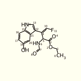 CCOC(=O)C(NC=O)/C(=C\F)c1c[nH]c2ccc(O)cc12